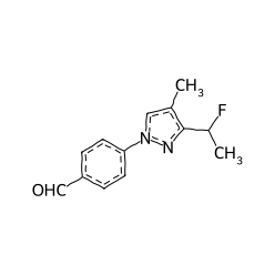 Cc1cn(-c2ccc(C=O)cc2)nc1C(C)F